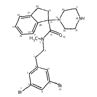 CN(CCc1cc(Br)cc(Br)c1)C(=O)C1(N2CCNCC2)CCc2ccccc21